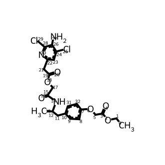 CCOC(=O)COc1ccc(CC(C)NC(=O)COC(=O)Cc2cc(Cl)c(N)c(Cl)n2)cc1